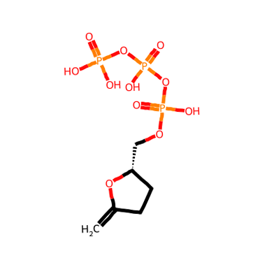 C=C1CC[C@@H](COP(=O)(O)OP(=O)(O)OP(=O)(O)O)O1